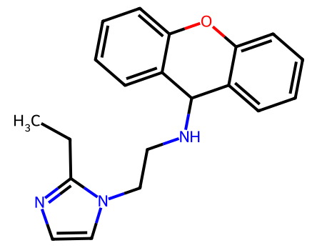 CCc1nccn1CCNC1c2ccccc2Oc2ccccc21